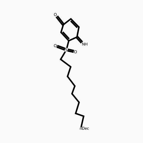 CCCCCCCCCCCCCCCCCCS(=O)(=O)C1=CC(=O)C=CC1=N